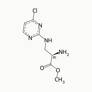 COC(=O)[C@H](N)CNc1nccc(Cl)n1